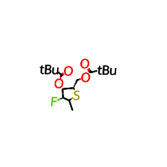 CC1S[C@H](COC(=O)C(C)(C)C)[C@@H](OC(=O)C(C)(C)C)[C@@H]1F